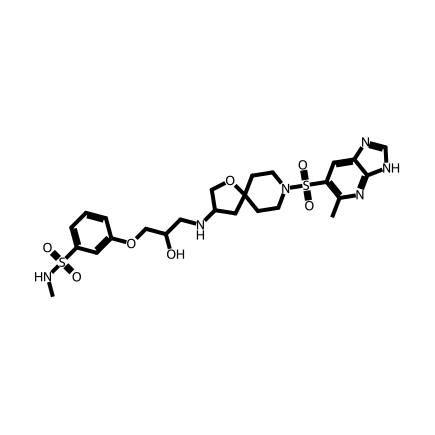 CNS(=O)(=O)c1cccc(OCC(O)CNC2COC3(CCN(S(=O)(=O)c4cc5nc[nH]c5nc4C)CC3)C2)c1